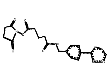 O=C(CCCC(=O)ON1C(=O)CCC1=O)NCc1ccc(-c2nncnn2)cc1